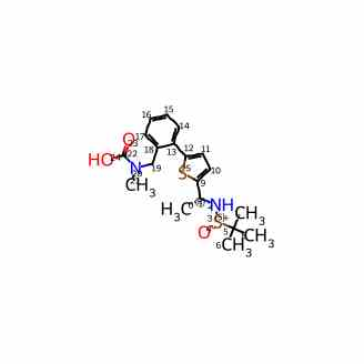 C[C@@H](N[S@+]([O-])C(C)(C)C)c1ccc(-c2ccccc2CN(C)C(=O)O)s1